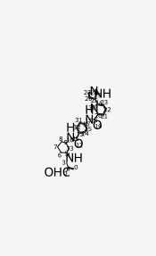 C=C(C=O)CN[C@H]1CCC[C@@H](NC(=O)c2ccc(NC(=O)c3cccc(-c4ccn[nH]4)n3)cc2)C1